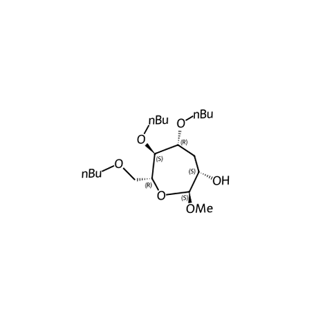 CCCCOC[C@H]1O[C@H](OC)[C@@H](O)C[C@@H](OCCCC)[C@@H]1OCCCC